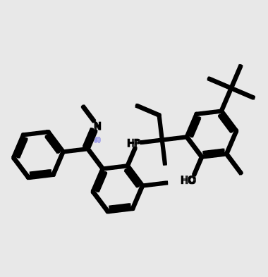 CCC(C)(Pc1c(C)cccc1/C(=N/C)c1ccccc1)c1cc(C(C)(C)C)cc(C)c1O